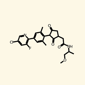 COCC(C)NC(=O)CC1CC(=O)C(c2c(C)cc(-c3ncc(Cl)cc3F)cc2C)C1=O